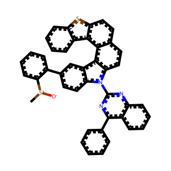 C[S+]([O-])c1ccccc1-c1ccc2c(c1)c1c3c(ccc4sc5ccccc5c43)ccc1n2-c1nc(-c2ccccc2)c2ccccc2n1